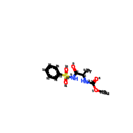 CC(C)[C@@H](NC(=O)OC(C)(C)C)C(=O)NS(=O)(=O)c1ccccc1